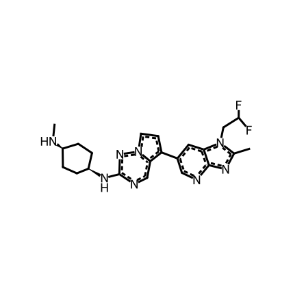 CN[C@H]1CC[C@@H](Nc2ncc3c(-c4cnc5nc(C)n(CC(F)F)c5c4)ccn3n2)CC1